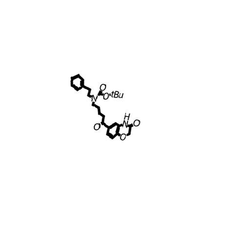 CC(C)(C)OC(=O)N(CCCCC(=O)c1ccc2c(c1)NC(=O)CO2)CCc1ccccc1